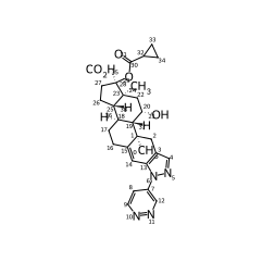 C[C@]12Cc3cnn(-c4ccnnc4)c3C=C1CC[C@@H]1[C@@H]2[C@@H](O)C[C@@]2(C)[C@H]1CC[C@]2(OC(=O)C1CC1)C(=O)O